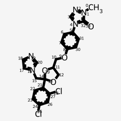 Cn1ncn(-c2ccc(OCC3COC(Cn4ccnc4)(c4ccc(Cl)cc4Cl)O3)cc2)c1=O